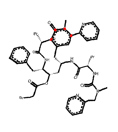 CC(C)[C@H](NC(=O)N(C)Cc1ccccn1)C(=O)N[C@@H](Cc1ccccc1)C[C@H](OC(=O)CBr)[C@H](Cc1ccccc1)NC(=O)[C@@H](NC(=O)N(C)Cc1ccccn1)C(C)C